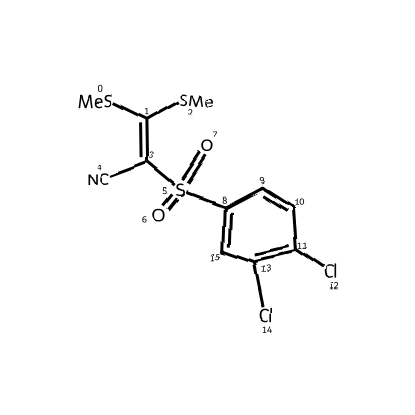 CSC(SC)=C(C#N)S(=O)(=O)c1ccc(Cl)c(Cl)c1